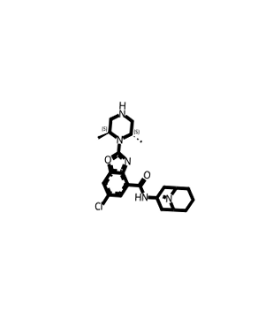 C[C@H]1CNC[C@H](C)N1c1nc2c(C(=O)NC3CC4CCCC(C3)N4C)cc(Cl)cc2o1